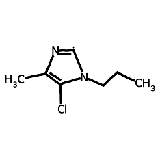 CCCn1[c]nc(C)c1Cl